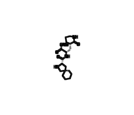 COC(=O)[C@H](C[C@@H]1CCCNC1=O)NC(=O)[C@@H]1CC2(CCCCC2)CN1